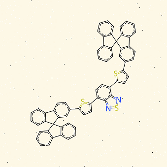 c1ccc2c(c1)-c1ccccc1C21c2ccccc2-c2ccc(-c3ccc(-c4ccc(-c5ccc(-c6ccc7c(c6)C6(c8ccccc8-c8ccccc86)c6ccccc6-7)s5)c5nsnc45)s3)cc21